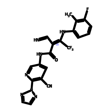 Cc1c(F)cccc1N/C(=C(\C=N)C(=O)Nc1cnc(-n2nccn2)c(C#N)c1)C(F)(F)F